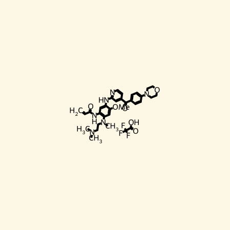 C=CC(=O)Nc1cc(Nc2cc(C(=O)c3ccc(N4CCOCC4)cc3)ccn2)c(OC)cc1N(C)CCN(C)C.O=C(O)C(F)(F)F